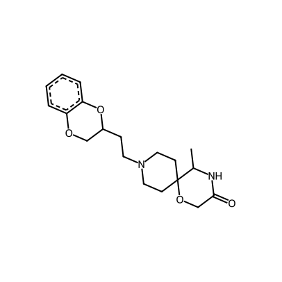 CC1NC(=O)COC12CCN(CCC1COc3ccccc3O1)CC2